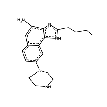 CCCCc1nc2c(N)cc3ccc(N4CCNCC4)cc3c2[nH]1